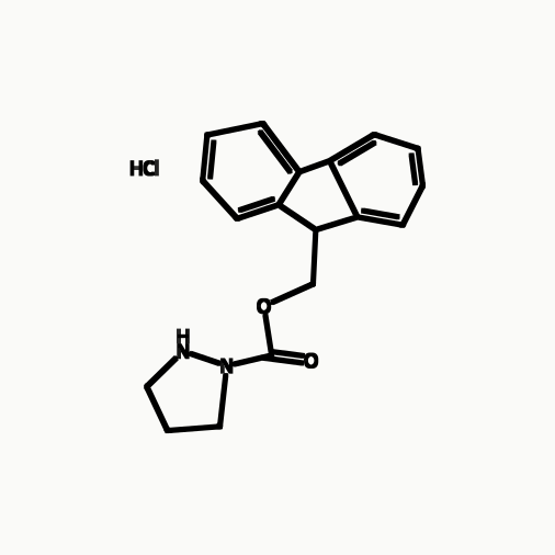 Cl.O=C(OCC1c2ccccc2-c2ccccc21)N1CCCN1